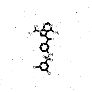 CC(C)n1cc(C(=O)c2cccc(NS(=O)(=O)c3cc(Cl)cc(Cl)c3)c2)c2c(N)ncnc21